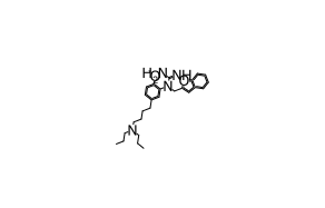 CCCN(CCC)CCCCc1ccc(OC)c(N(Cc2cc3ccccc3o2)C(=N)N)c1